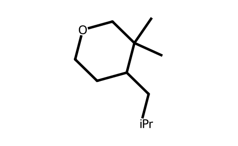 CC(C)CC1CCOCC1(C)C